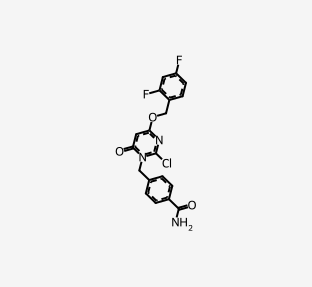 NC(=O)c1ccc(Cn2c(Cl)nc(OCc3ccc(F)cc3F)cc2=O)cc1